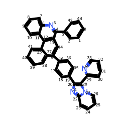 c1ccc(-c2nc3ccccc3c3c2cc(-c2ccc(-c4nc5ccccn5c4-c4ccccn4)cc2)c2ccccc23)cc1